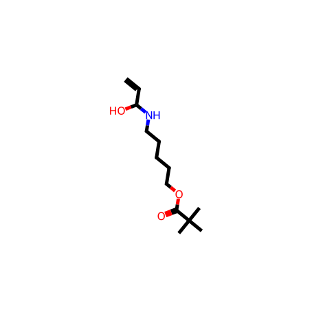 C=CC(O)NCCCCCOC(=O)C(C)(C)C